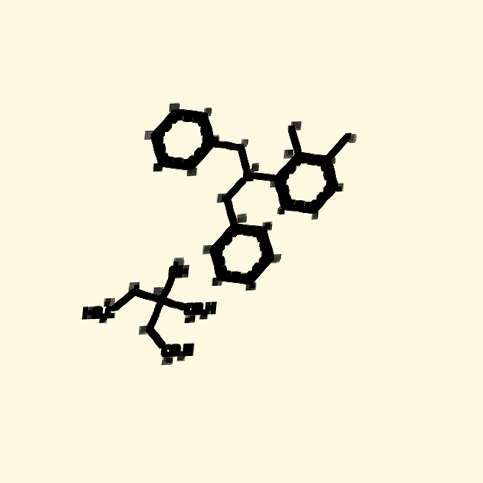 Cc1cccc(N(Cc2ccccc2)Cc2ccccc2)c1C.O=C(O)CC(O)(CC(=O)O)C(=O)O